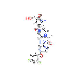 C[C@@H](C(=O)Nc1cnc(Oc2ccc(F)cc2F)cn1)N1CCN(C(=O)c2c[nH]c(=O)c(CO)c2)C(C)(C)C1